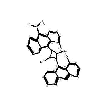 CN(C)c1c2ccccc2c(C2C(O)C(c3c4ccccc4cc4cccc(O)c34)C2O)c2c(O)cccc12